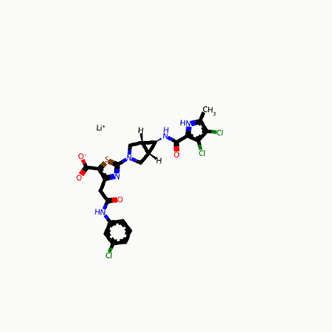 Cc1[nH]c(C(=O)N[C@@H]2[C@@H]3CN(c4nc(CC(=O)Nc5cccc(Cl)c5)c(C(=O)[O-])s4)C[C@@H]32)c(Cl)c1Cl.[Li+]